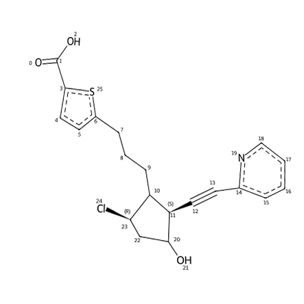 O=C(O)c1ccc(CCCC2[C@@H](C#Cc3ccccn3)C(O)C[C@H]2Cl)s1